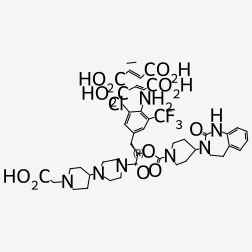 CC.Nc1c(Cl)cc(C[C@@H](OC(=O)N2CCC(N3CCc4ccccc4NC3=O)CC2)C(=O)N2CCN(C3CCN(CC(=O)O)CC3)CC2)cc1C(F)(F)F.O=C(O)C=CC(=O)O.O=C(O)C=CC(=O)O